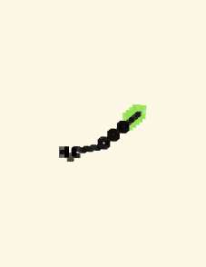 CCCCCCCC1CCC(c2ccc(-c3ccc(C(F)(F)C(F)(F)C(F)(F)C(F)(F)F)cc3)cc2)CC1